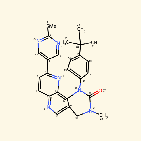 CSc1ncc(-c2ccc3ncc4c(c3n2)N(c2ccc(C(C)(C)C#N)cc2)C(=O)N(C)C4)cn1